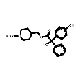 O=C(O)N1CCC(COC(=O)C(O)(c2ccccc2)c2ccc(O)cc2)CC1